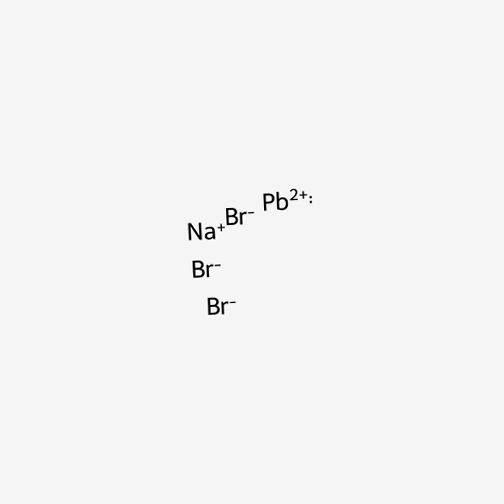 [Br-].[Br-].[Br-].[Na+].[Pb+2]